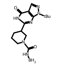 BNC(=O)N1CCCC(c2nc3c(cnn3C(C)(C)C)c(=O)[nH]2)C1